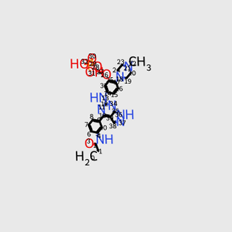 C=CC(=O)Nc1cccc(-c2nc(Nc3ccc(N4CCN(C)CC4)c(OCOP(=O)(O)O)c3)nc3[nH]ncc23)c1